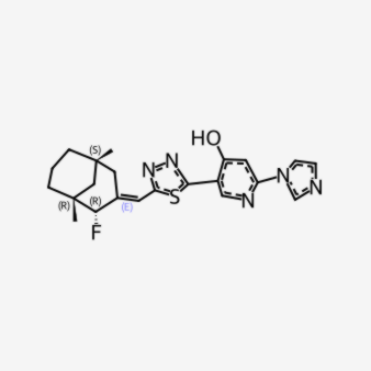 C[C@]12CCC[C@](C)(C1)[C@@H](F)/C(=C/c1nnc(-c3cnc(-n4ccnc4)cc3O)s1)C2